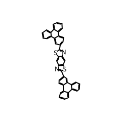 c1ccc2c(c1)c1ccccc1c1cc(-c3nc4cc5sc(-c6ccc7c8ccccc8c8ccccc8c7c6)nc5cc4s3)ccc21